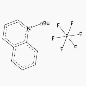 CCCC[n+]1cccc2ccccc21.F[P-](F)(F)(F)(F)F